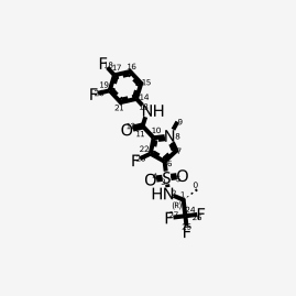 C[C@@H](NS(=O)(=O)c1cn(C)c(C(=O)Nc2ccc(F)c(F)c2)c1F)C(F)(F)F